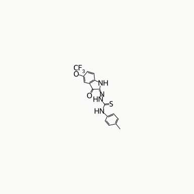 Cc1ccc(NC(=S)NN=C2Nc3ccc(OC(F)(F)F)cc3C2=O)cc1